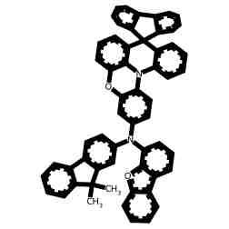 CC1(C)c2ccccc2-c2ccc(N(c3ccc4c(c3)Oc3cccc5c3N4c3ccccc3C53c4ccccc4-c4ccccc43)c3cccc4c3oc3ccccc34)cc21